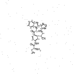 CC(C)C[C@H](N)C(=O)Nc1ccc(C(=O)Cn2c(-c3nonc3NCCC#N)nc3ccccc32)cc1